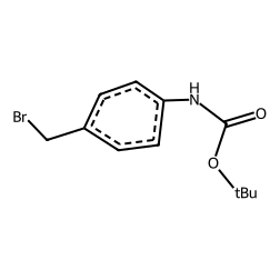 CC(C)(C)OC(=O)Nc1ccc(CBr)cc1